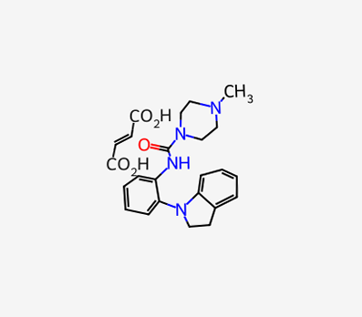 CN1CCN(C(=O)Nc2ccccc2N2CCc3ccccc32)CC1.O=C(O)C=CC(=O)O